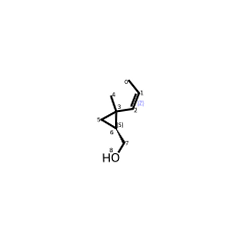 C/C=C\C1(C)C[C@@H]1CO